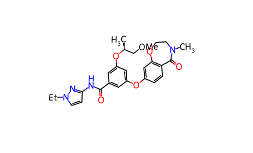 CCn1ccc(NC(=O)c2cc(Oc3ccc4c(c3)OCCN(C)C4=O)cc(O[C@@H](C)COC)c2)n1